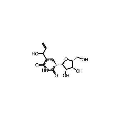 C=CC(O)c1cn([C@@H]2O[C@H](CO)[C@@H](O)[C@H]2O)c(=O)[nH]c1=O